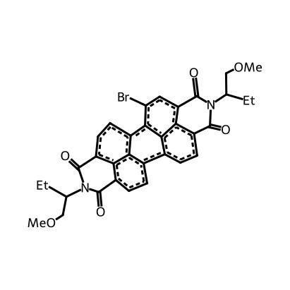 CCC(COC)N1C(=O)c2ccc3c4ccc5c6c(cc(Br)c(c7ccc(c2c37)C1=O)c64)C(=O)N(C(CC)COC)C5=O